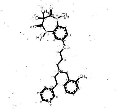 Cc1ccccc1CN(CCCOc1ccc2c(c1)N(C)C(=O)C(C)(C)C(=O)N2C)CCc1cccnc1